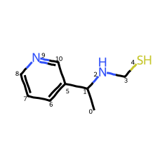 CC(NCS)c1cccnc1